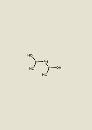 OB(O)PB(O)O